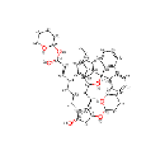 CCCCCC(CC[C@H]1C(OC2CCCCO2)CC(=O)[C@@H]1CCCCC=CC(=O)OC1CCCCO1)OC(c1ccccc1)(c1ccccc1)c1ccccc1